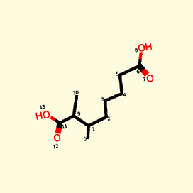 CC(CCCCC(=O)O)C(C)C(=O)O